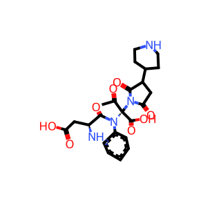 CC(=O)[C@](C(=O)O)(N1C(=O)CC(C2CCNCC2)C1=O)N(C(=O)[C@@H](N)CC(=O)O)c1ccccc1